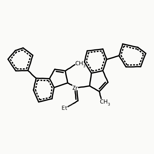 CC[CH]=[Zr]([CH]1C(C)=Cc2c(-c3ccccc3)cccc21)[CH]1C(C)=Cc2c(-c3ccccc3)cccc21